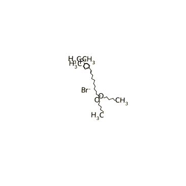 CCCCCCOC(CCCCCCCCC=Cc1ccc([P+](C)(C)C)cc1)OCCCCCC.[Br-]